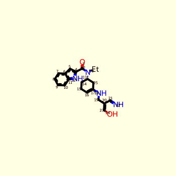 CCN(C(=O)c1cc2ccccc2[nH]1)[C@H]1CCC=C(NC/C(C=N)=C/O)C1